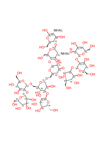 CC(=O)N[C@@H]1[C@@H](O)[C@H](O[C@@H]2O[C@H](CO)[C@@H](O[C@H]3O[C@H](CO[C@H]4O[C@H](CO[C@H]5O[C@H](CO)[C@@H](O)[C@H](O)[C@@H]5O[C@H]5O[C@H](CO)[C@@H](O)[C@H](O)[C@@H]5O)[C@@H](O)[C@H](O[C@H]5O[C@H](CO)[C@@H](O)[C@H](O)[C@@H]5O)[C@@H]4O)[C@@H](O)[C@H](O[C@H]4O[C@H](CO)[C@@H](O)[C@H](O)[C@@H]4O[C@H]4O[C@H](CO)[C@@H](O)[C@H](O)[C@@H]4O[C@H]4O[C@H](CO)[C@@H](O)[C@H](O)[C@@H]4O)[C@@H]3O)[C@H](O)[C@H]2NC(C)=O)[C@@H](CO)O[C@H]1O